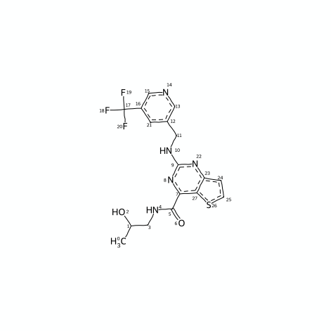 CC(O)CNC(=O)c1nc(NCc2cncc(C(F)(F)F)c2)nc2ccsc12